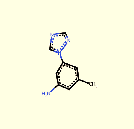 Cc1cc(N)cc(-n2cncn2)c1